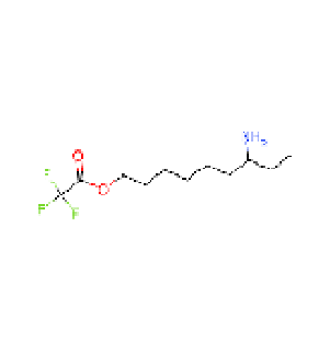 CCC(N)CCCCCCOC(=O)C(F)(F)F